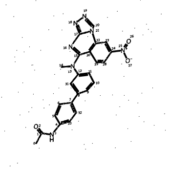 CC(=O)Nc1ccc(-c2cccc(N(C)c3nc4nncn4c4cc([N+](=O)[O-])ccc34)c2)cc1